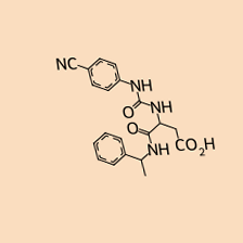 CC(NC(=O)C(CC(=O)O)NC(=O)Nc1ccc(C#N)cc1)c1ccccc1